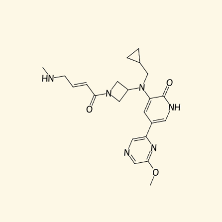 CNCC=CC(=O)N1CC(N(CC2CC2)c2cc(-c3cncc(OC)n3)c[nH]c2=O)C1